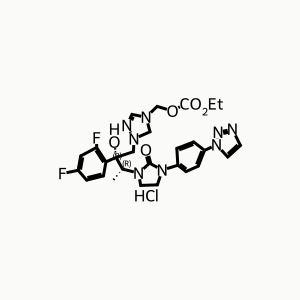 CCOC(=O)OCN1C=NN(C[C@](O)(c2ccc(F)cc2F)[C@@H](C)N2CCN(c3ccc(-n4ccnn4)cc3)C2=O)C1.Cl